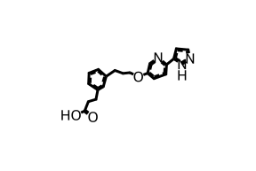 O=C(O)CCc1cccc(CCCOc2ccc(-c3ccn[nH]3)nc2)c1